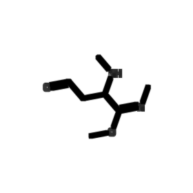 C/N=C(/OC)C(CC=O)NC